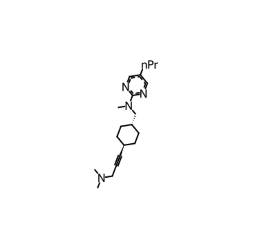 CCCc1cnc(N(C)C[C@H]2CC[C@H](C#CCN(C)C)CC2)nc1